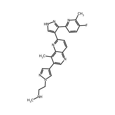 CNCCn1cc(-c2cnc3ccc(-c4c[nH]nc4-c4ccc(F)c(C)n4)nc3c2C)cn1